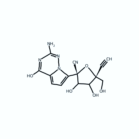 C#C[C@]1(CO)O[C@@](C#N)(c2ccc3c(O)nc(N)nn23)C(O)C1O